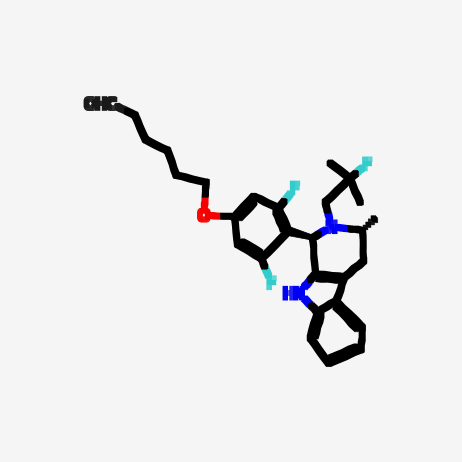 C[C@@H]1Cc2c([nH]c3ccccc23)[C@@H](c2c(F)cc(OCCCCCC=O)cc2F)N1CC(C)(C)F